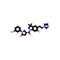 CC1(C)CN(C(=O)[C@H]2CC(=O)N(c3cccc(C#N)c3)C2)c2cc(Cl)c(CCn3ccnc3)cc21